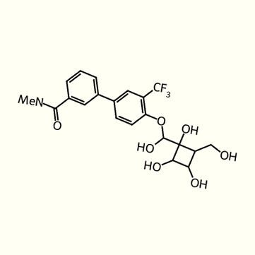 CNC(=O)c1cccc(-c2ccc(OC(O)C3(O)C(O)C(O)C3CO)c(C(F)(F)F)c2)c1